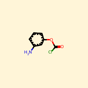 Nc1cccc(OC(=O)Cl)c1